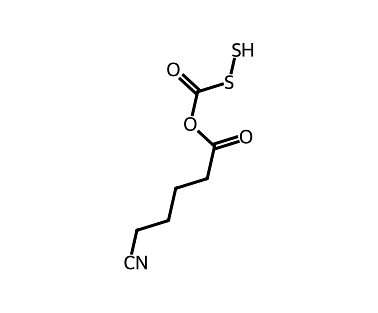 N#CCCCCC(=O)OC(=O)SS